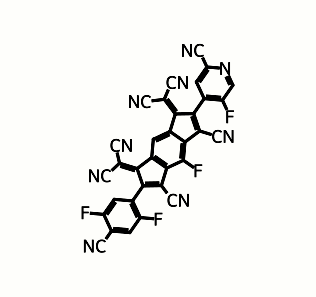 N#CC(C#N)=C1C(c2cc(C#N)ncc2F)=C(C#N)c2c1cc1c(c2F)C(C#N)=C(c2cc(F)c(C#N)cc2F)C1=C(C#N)C#N